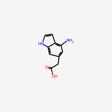 Nc1cc(CC(=O)O)cc2[nH]ccc12